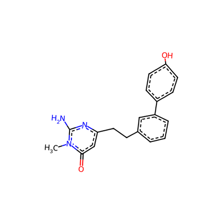 Cn1c(N)nc(CCc2cccc(-c3ccc(O)cc3)c2)cc1=O